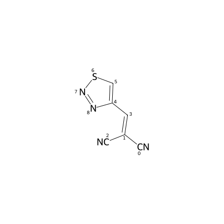 N#CC(C#N)=Cc1csnn1